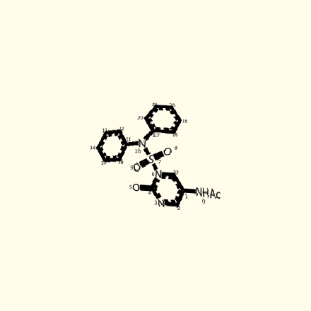 CC(=O)Nc1cnc(=O)n(S(=O)(=O)N(c2ccccc2)c2ccccc2)c1